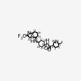 Cc1ccc(C(=O)NC2(O)CCC(Nc3cccc4nc(C(F)(F)F)cn34)CC2)cn1